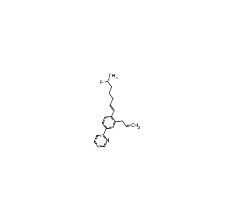 C=CCc1cc(-c2ccccn2)ccc1C=CCCCC(C)F